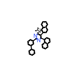 C[Si]1(C)c2nc(-c3cccc(-c4ccccc4)c3)nc(-c3cccc4ccccc34)c2-c2ccc3ccccc3c21